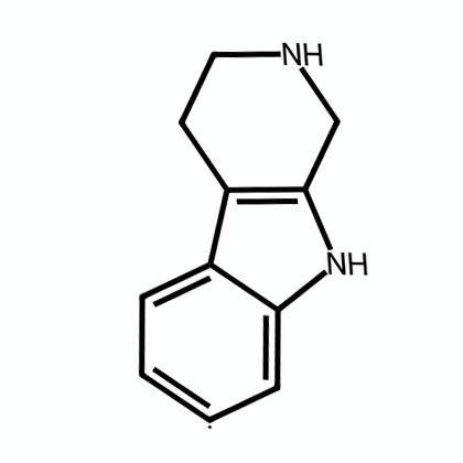 [c]1ccc2c3c([nH]c2c1)CNCC3